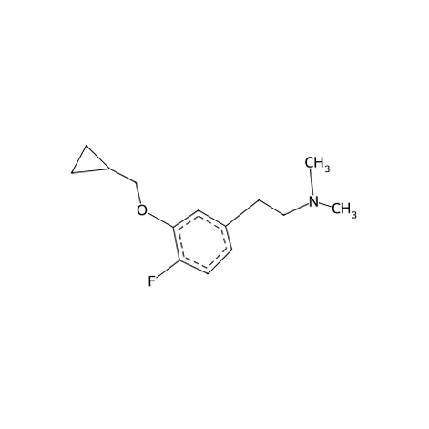 CN(C)CCc1ccc(F)c(OCC2CC2)c1